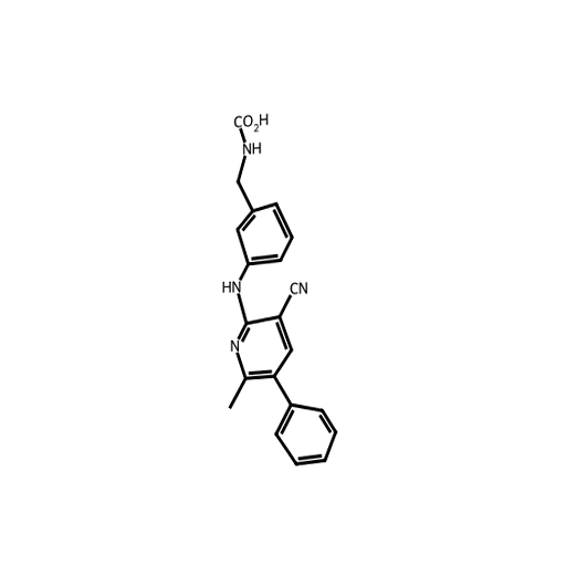 Cc1nc(Nc2cccc(CNC(=O)O)c2)c(C#N)cc1-c1ccccc1